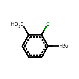 CCCCc1cccc(C(=O)O)c1Cl